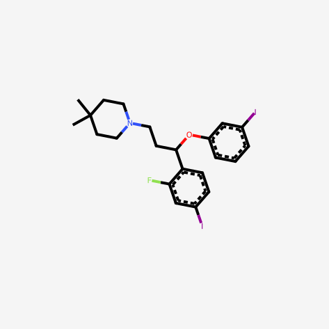 CC1(C)CCN(CCC(Oc2cccc(I)c2)c2ccc(I)cc2F)CC1